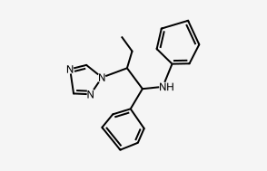 CCC(C(Nc1ccccc1)c1ccccc1)n1cncn1